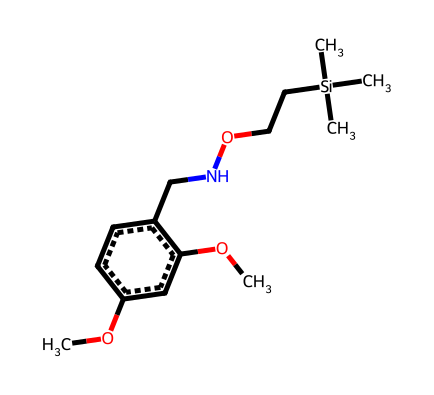 COc1ccc(CNOCC[Si](C)(C)C)c(OC)c1